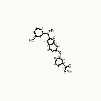 CCCN(c1cccc(O)c1)c1nc2ccc(Oc3ccnc(C(=O)NC)c3)cc2o1